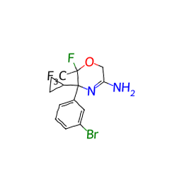 NC1=NC(c2cccc(Br)c2)(C2CC2)C(F)(C(F)(F)F)OC1